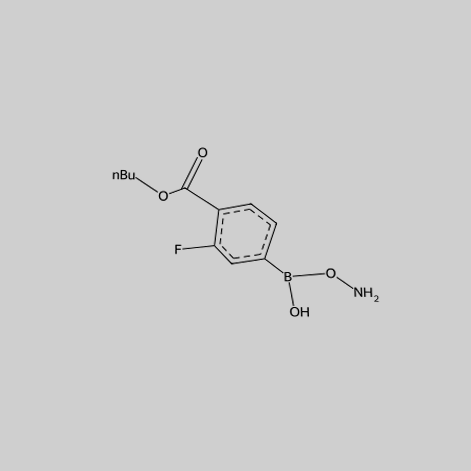 CCCCOC(=O)c1ccc(B(O)ON)cc1F